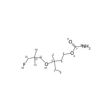 CCC(C)(CCOC(N)=O)OCC(C)(C)CF